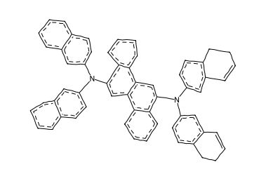 C1=Cc2cc(N(c3ccc4c(c3)C=CCC4)c3cc4c5ccccc5c(N(c5ccc6ccccc6c5)c5ccc6ccccc6c5)cc4c4ccccc34)ccc2CC1